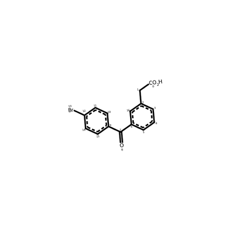 O=C(O)Cc1cccc(C(=O)c2ccc(Br)cc2)c1